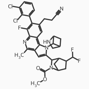 COC(=O)N1C2CC(C(F)F)C(C2)C1c1cc2c(C)nc3c(F)c(-c4cccc(Cl)c4Cl)c(CCC#N)cc3c2n1C1C2CNC1C2